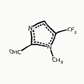 Cn1c(C(F)(F)F)cnc1C=O